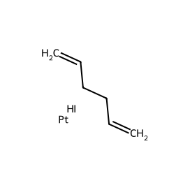 C=CCCC=C.I.[Pt]